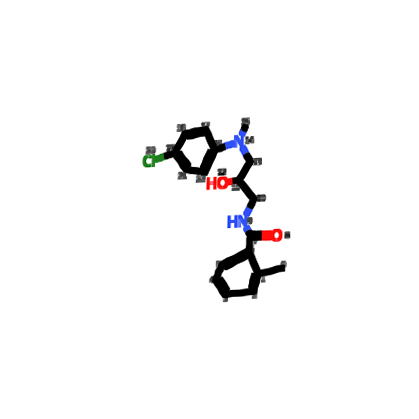 Cc1ccccc1C(=O)NCC(O)CN(C)c1ccc(Cl)cc1